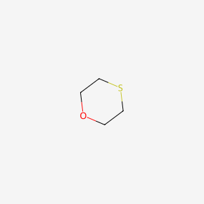 C1CSCCO1